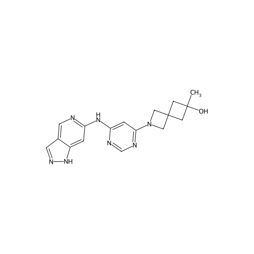 CC1(O)CC2(CN(c3cc(Nc4cc5[nH]ncc5cn4)ncn3)C2)C1